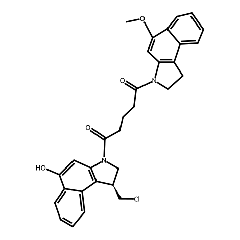 COc1cc2c(c3ccccc13)CCN2C(=O)CCCC(=O)N1C[C@@H](CCl)c2c1cc(O)c1ccccc21